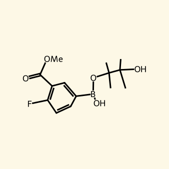 COC(=O)c1cc(B(O)OC(C)(C)C(C)(C)O)ccc1F